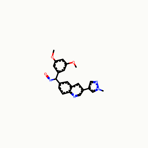 COc1cc(OC)cc(C(N=O)c2ccc3ncc(-c4cnn(C)c4)cc3c2)c1